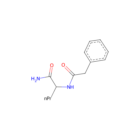 CCCC(NC(=O)Cc1ccccc1)C(N)=O